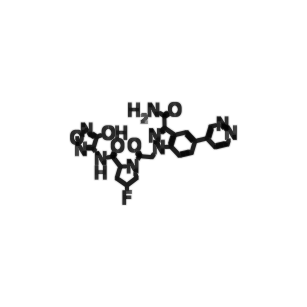 NC(=O)c1nn(CC(=O)N2CC(F)CC2C(=O)Nc2nonc2O)c2ccc(-c3ccnnc3)cc12